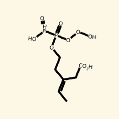 C/C=C(/CCOP(=O)(OOO)[PH](=O)O)CC(=O)O